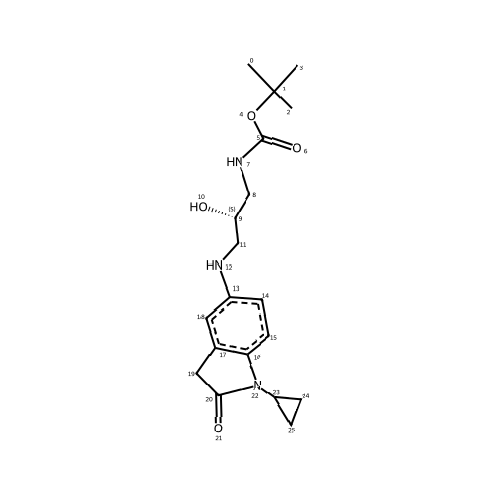 CC(C)(C)OC(=O)NC[C@@H](O)CNc1ccc2c(c1)CC(=O)N2C1CC1